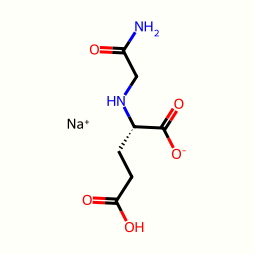 NC(=O)CN[C@@H](CCC(=O)O)C(=O)[O-].[Na+]